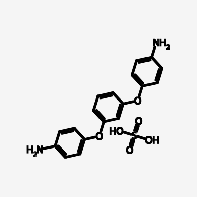 Nc1ccc(Oc2cccc(Oc3ccc(N)cc3)c2)cc1.O=S(=O)(O)O